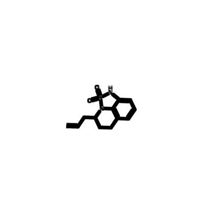 C=C[CH]C1CCc2cccc3c2N1S(=O)(=O)N3